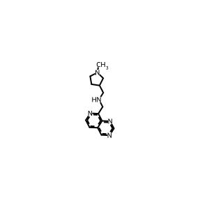 CN1CCC(CNCc2nccc3cncnc23)C1